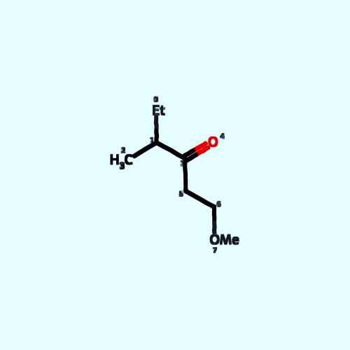 CCC(C)C(=O)CCOC